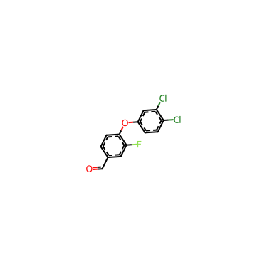 O=Cc1ccc(Oc2ccc(Cl)c(Cl)c2)c(F)c1